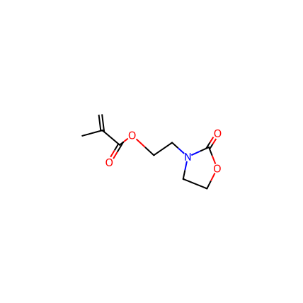 C=C(C)C(=O)OCCN1CCOC1=O